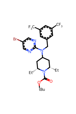 CC[C@@H]1CC(N(Cc2cc(C(F)(F)F)cc(C(F)(F)F)c2)c2ncc(Br)cn2)C[C@H](CC)N1C(=O)OC(C)(C)C